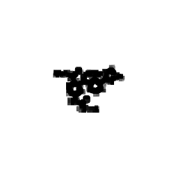 CCCCCC(=O)Nc1cc(Nc2cccc(-c3ncn(C)n3)c2OC)c(C(=O)NC)nn1